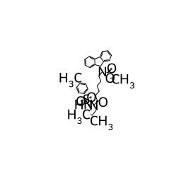 COC(=O)N(CCCCCC(=O)N(CC(C)C)NS(=O)(=O)c1ccc(C)cc1)C1c2ccccc2-c2ccccc21